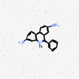 CC[N+]1=C(c2ccccc2)C2C=C(N)C=CC2c2ccc(N)cc21